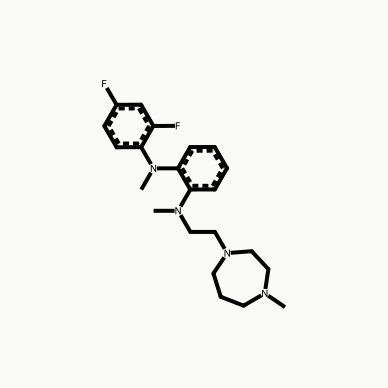 CN1CCCN(CCN(C)c2ccccc2N(C)c2ccc(F)cc2F)CC1